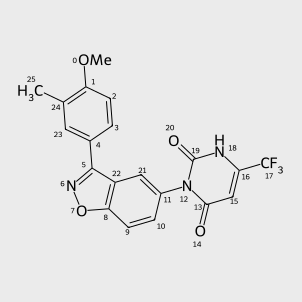 COc1ccc(-c2noc3ccc(-n4c(=O)cc(C(F)(F)F)[nH]c4=O)cc23)cc1C